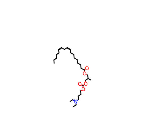 CCCCC/C=C\C/C=C\CCCCCCCC(=O)OCC(C)COC(=O)OCCCCN(CC)CC